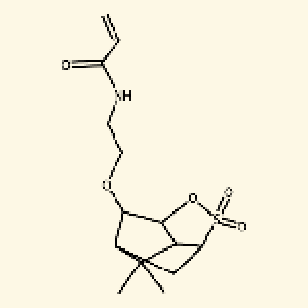 C=CC(=O)NCCOC1C2OS(=O)(=O)C3CC1C(C)(C)C23